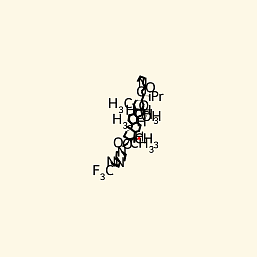 CC(C)[C@@H](OC(=O)N1CCC1)[C@H]1C[C@@H](C)[C@H]2[C@H](O1)[C@H](O)[C@@]1(C)[C@@H]3CC[C@H]4C(C)(C)[C@@H](OC(=O)N5CCn6cc(C(F)(F)F)nc6C5)CC[C@@]45C[C@@]35CC[C@]21C